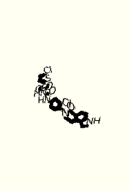 O=C(Nc1ccc(-n2ccc3c4c(ccc3c2=O)NCC4)c(Cl)c1)NS(=O)(=O)c1ccc(Cl)s1